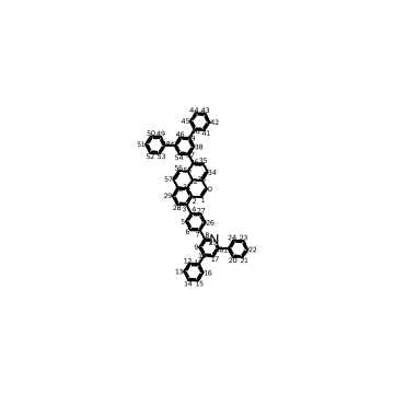 C1=Cc2c(-c3ccc(-c4cc(-c5ccccc5)cc(-c5ccccc5)n4)cc3)ccc3c2C2C1=CC=C(c1cc(-c4ccccc4)cc(-c4ccccc4)c1)C2C=C3